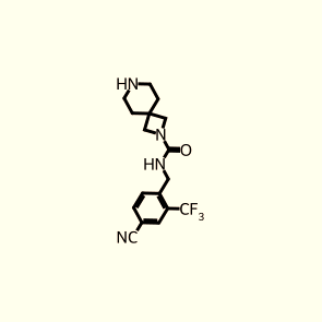 N#Cc1ccc(CNC(=O)N2CC3(CCNCC3)C2)c(C(F)(F)F)c1